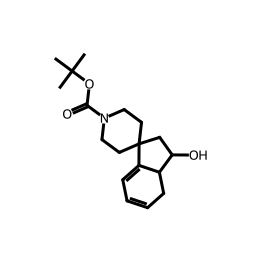 CC(C)(C)OC(=O)N1CCC2(CC1)CC(O)C1CC=CC=C12